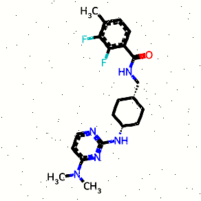 Cc1ccc(C(=O)NC[C@H]2CC[C@@H](Nc3nccc(N(C)C)n3)CC2)c(F)c1F